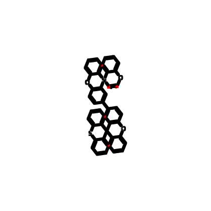 c1ccc2c(c1)Oc1ccc(-c3ccc4c(c3)[Si]3(c5ccccc5Oc5ccccc53)c3ccccc3O4)cc1C21c2ccccc2Sc2ccccc21